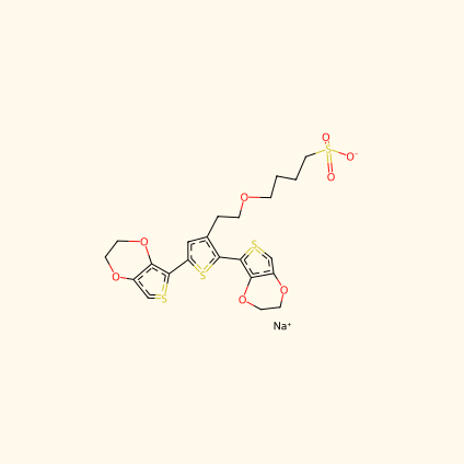 O=S(=O)([O-])CCCCOCCc1cc(-c2scc3c2OCCO3)sc1-c1scc2c1OCCO2.[Na+]